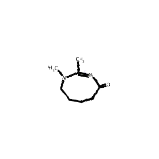 C/C1=N/C(=O)CCCCN1C